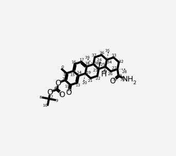 CC1=C(OC(=O)OC(C)(C)C)C(=O)C=C2C1=CC=C1[C@@]2(C)CC[C@@]2(C)[C@@H]3C[C@](C)(C(N)=O)CC[C@]3(C)CC[C@]12C